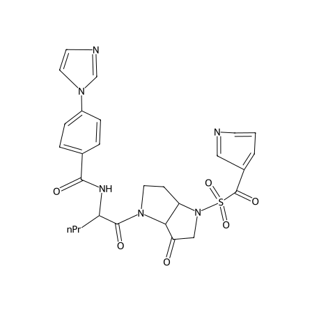 CCCC(NC(=O)c1ccc(-n2ccnc2)cc1)C(=O)N1CCC2C1C(=O)CN2S(=O)(=O)C(=O)c1cccnc1